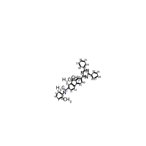 C/C(=N\c1ccccc1C)c1ccc2c(c1)C(C)(C)c1cc(-c3nc(-c4ccccc4)nc(-c4ccccc4)n3)ccc1-2